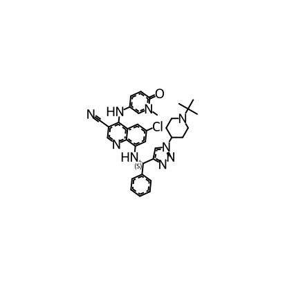 Cn1cc(Nc2c(C#N)cnc3c(N[C@@H](c4ccccc4)c4cn(C5CCN(C(C)(C)C)CC5)nn4)cc(Cl)cc23)ccc1=O